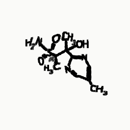 Cc1cnc(C(C)(O)[C@@H](C)S(N)(=O)=O)nc1